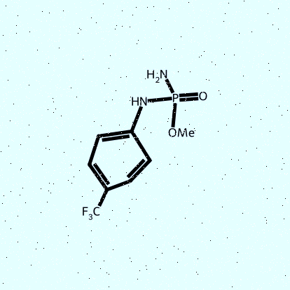 COP(N)(=O)Nc1ccc(C(F)(F)F)cc1